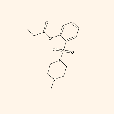 CCC(=O)Oc1ccccc1S(=O)(=O)N1CCN(C)CC1